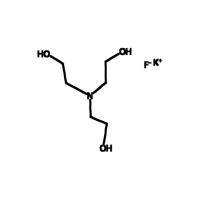 OCCN(CCO)CCO.[F-].[K+]